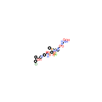 O=C(O)NCCNC(=O)OCCN1CCC[C@H]1C[C@H](CSc1ccccc1)Nc1ccc(S(=O)(=O)NC(=O)c2ccc(N3CCC([C@@H](O)c4ccccc4-c4ccc(Cl)cc4)CC3)cc2)cc1S(=O)(=O)C(F)(F)F